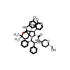 CC1(C)CCC2(CC1)N([C@H](c1ccccc1)[C@@H](O)c1ccccc1)[C@@H](C(=O)N[C@@H]1CC[C@@H](CO)OC1)[C@H](c1ccnc(Cl)c1F)[C@]21C(=O)Nc2cc(Cl)ccc21